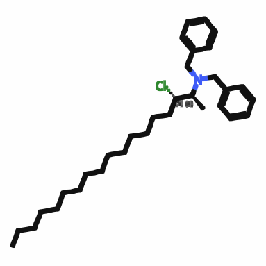 CCCCCCCCCCCCCCC[C@H](Cl)[C@H](C)N(Cc1ccccc1)Cc1ccccc1